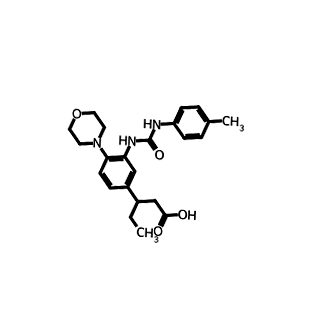 CCC(CC(=O)O)c1ccc(N2CCOCC2)c(NC(=O)Nc2ccc(C)cc2)c1